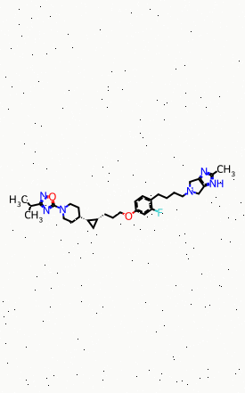 Cc1nc2c([nH]1)CN(CCCCc1ccc(OCCC[C@@H]3C[C@@H]3C3CCN(c4nc(C(C)C)no4)CC3)cc1F)C2